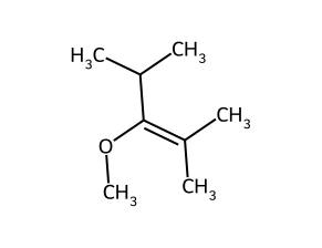 COC(=C(C)C)C(C)C